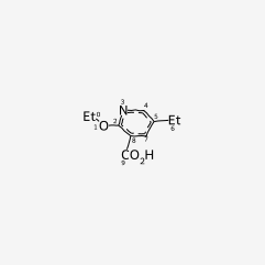 CCOc1ncc(CC)cc1C(=O)O